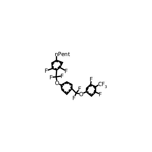 CCCCCc1cc(F)c(C(F)(F)Oc2ccc(C(F)(F)Oc3cc(F)c(C(F)(F)F)c(F)c3)cc2)c(F)c1